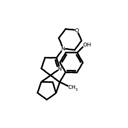 CC1(c2ccc(O)cc2)C2CCC(C2)C12CCC(N1CCOCC1)=N2